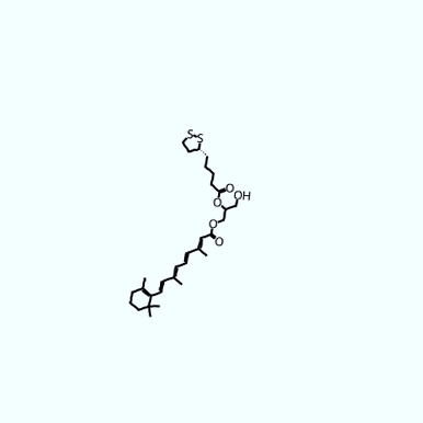 CC1=C(/C=C/C(C)=C/C=C/C(C)=C/C(=O)OCC(CO)OC(=O)CCCC[C@@H]2CCSS2)C(C)(C)CCC1